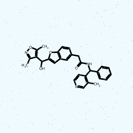 Cc1cnccc1C(NC(=O)Cc1ccc2oc(C(O)c3c(C)noc3C)cc2c1)c1ccccc1